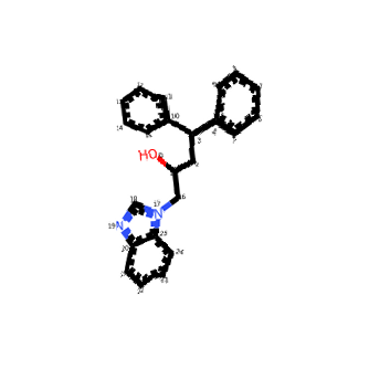 OC(CC(c1ccccc1)c1ccccc1)Cn1cnc2ccccc21